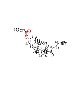 CCCCCCCCC(=O)O[C@H]1CCC2C(=CC[C@H]3[C@H]4CC[C@H]([C@H](C)CCCC(C)C)[C@@]4(C)CC[C@@H]23)C1